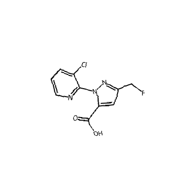 O=C(O)c1cc(CF)nn1-c1ncccc1Cl